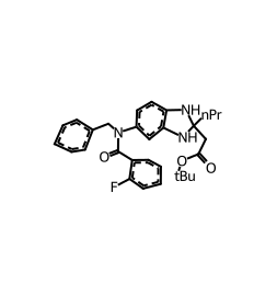 CCCC1(CC(=O)OC(C)(C)C)Nc2ccc(N(Cc3ccccc3)C(=O)c3ccccc3F)cc2N1